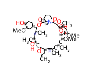 C=CC[C@@H]1/C=C(\C)C[C@@H](C)C[C@H](OC)[C@H]2O[C@@](O)(C(=O)C(=O)N3CCCC[C@H]3C(=O)OC([C@H]3CC[C@H](O)[C@@H](OC)C3)/C(C)=C/[C@H](C)[C@H](O)CC1=O)[C@H](C)C[C@@H]2OC